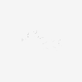 C[C@@H](CC(=O)O)NCc1ccc2ccccc2c1